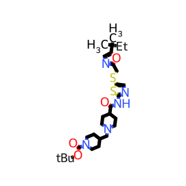 CCC(C)(C)c1cnc(CSc2cnc(NC(=O)C3CCN(CC4CCN(C(=O)OC(C)(C)C)CC4)CC3)s2)o1